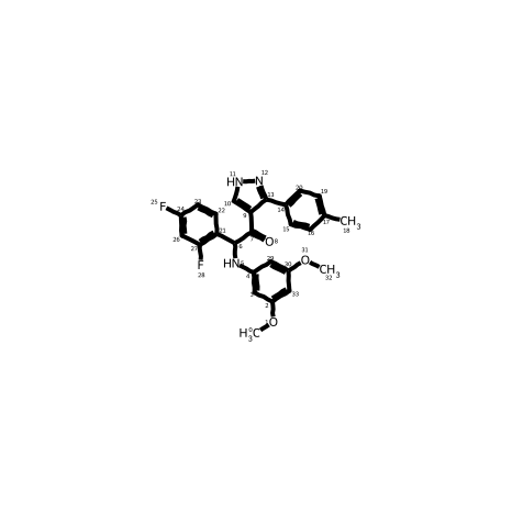 COc1cc(NC(C(=O)c2c[nH]nc2-c2ccc(C)cc2)c2ccc(F)cc2F)cc(OC)c1